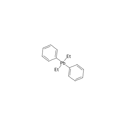 C[CH2][Pb]([CH2]C)([c]1ccccc1)[c]1ccccc1